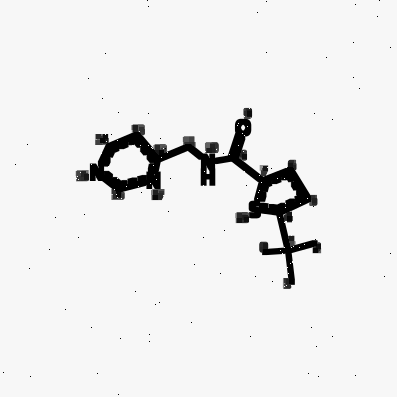 CC(C)(C)c1ccc(C(=O)NCc2ccncn2)s1